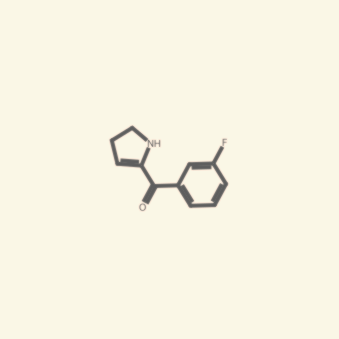 O=C(C1=CCCN1)c1cccc(F)c1